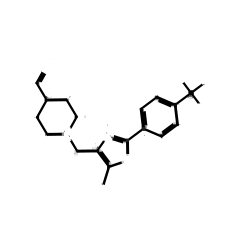 Cc1oc(-c2ccc(C(F)(F)F)cc2)nc1CN1CCC(C=O)CC1